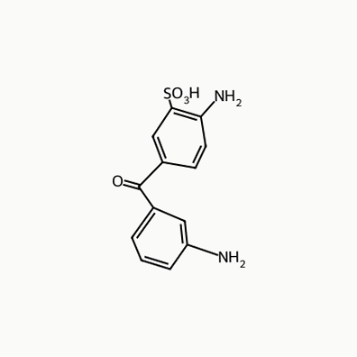 Nc1cccc(C(=O)c2ccc(N)c(S(=O)(=O)O)c2)c1